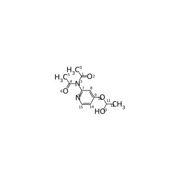 CC(=O)N(C(C)=O)c1cc(OC(C)O)ccn1